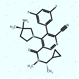 C[C@@H](C1CC1)N(C)C(=O)c1cnc(C#N)c(-c2cc(F)cc(F)c2)c1N1CC[C@](C)(N)C1